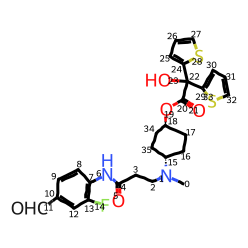 CN(CCC(=O)Nc1ccc(C=O)cc1F)[C@H]1CC[C@H](OC(=O)C(O)(c2cccs2)c2cccs2)CC1